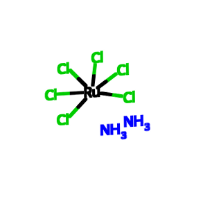 N.N.[Cl][Ru]([Cl])([Cl])([Cl])([Cl])[Cl]